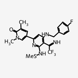 CSNc1nc(-c2cc(C)c(=O)n(C)c2)cc(NCc2ccc(F)cc2)c1C(=N)C(F)(F)F